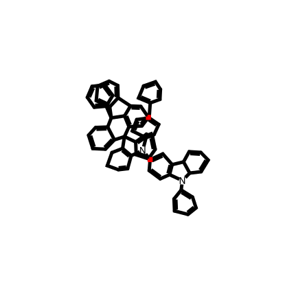 C1=CC2c3cc(N(C4=C(C5(c6ccccc6)c6ccccc6C6(c7ccccc7)c7ccccc7-c7cccc5c76)CCC=C4)c4ccc(-c5ccccc5)cc4)ccc3N(c3ccccc3)C2C=C1